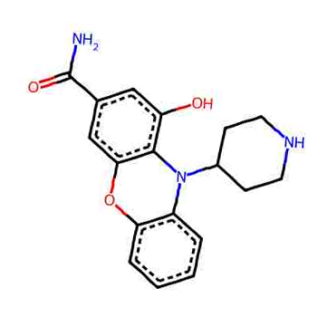 NC(=O)c1cc(O)c2c(c1)Oc1ccccc1N2C1CCNCC1